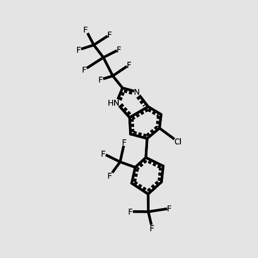 FC(F)(F)c1ccc(-c2cc3[nH]c(C(F)(F)C(F)(F)C(F)(F)F)nc3cc2Cl)c(C(F)(F)F)c1